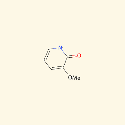 COC1=CC=C[N]C1=O